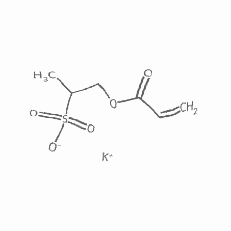 C=CC(=O)OCC(C)S(=O)(=O)[O-].[K+]